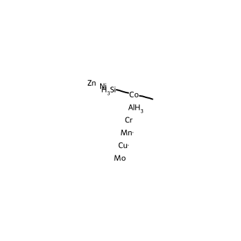 [AlH3].[CH3][Co][SiH3].[Cr].[Cu].[Mn].[Mo].[Ni].[Zn]